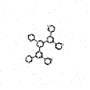 c1ccc(-c2cc(-c3cc(-c4cccnc4)cc(-c4cccnc4)c3)cc(-c3cc(-c4cccnc4)cc(-c4cccnc4)c3)c2)cc1